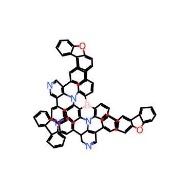 C1=NCC(c2ccccc2)C(N2c3cc(-c4ccc5oc6ccccc6c5c4)ccc3B3c4ccc(-c5ccc6oc7ccccc7c6c5)cc4N(c4c(-c5ccccc5)cncc4-c4ccccc4)c4cc(-n5c6ccccc6c6ccccc65)cc2c43)=C1c1ccccc1